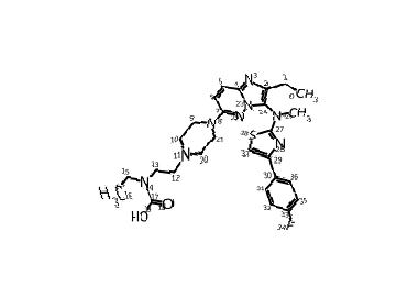 CCc1nc2ccc(N3CCN(CCN(CC)C(=O)O)CC3)nn2c1N(C)c1nc(-c2ccc(F)cc2)cs1